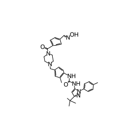 Cc1ccc(-n2nc(C(C)(C)C)cc2NC(=O)Nc2ccc(CN3CCN(C(=O)c4ccc(C=NO)cc4)CC3)cc2C)cc1